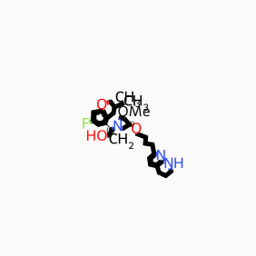 C=C(O)[C@H](c1cc(F)cc2c1CC(C(C)(C)OC)CO2)N1CC[C@@H](OCCCCc2ccc3c(n2)NCCC3)C1